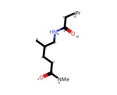 CNC(=O)CCC(C)CNC(=O)CC(C)C